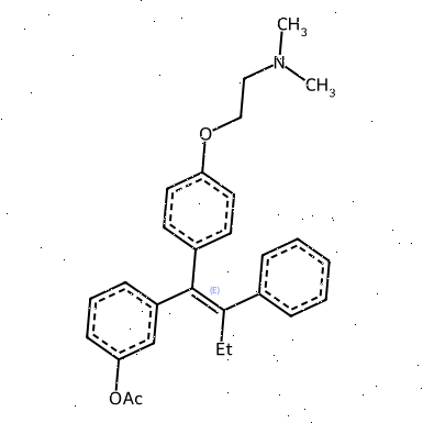 CC/C(=C(/c1ccc(OCCN(C)C)cc1)c1cccc(OC(C)=O)c1)c1ccccc1